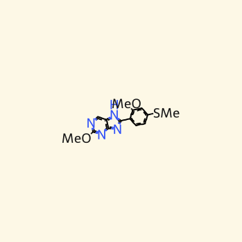 COc1ncc2[nH]c(-c3ccc(SC)cc3OC)nc2n1